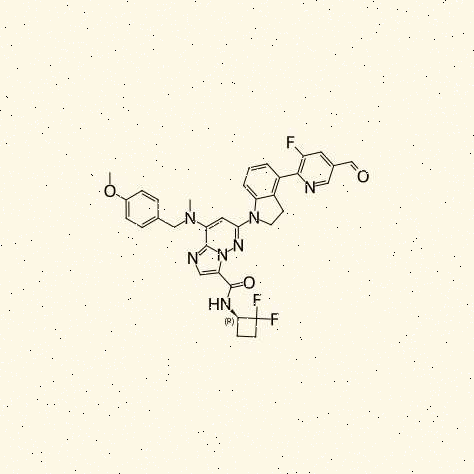 COc1ccc(CN(C)c2cc(N3CCc4c(-c5ncc(C=O)cc5F)cccc43)nn3c(C(=O)N[C@@H]4CCC4(F)F)cnc23)cc1